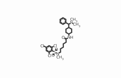 CN(C)C(c1ccccc1)C1CCC(NC(=O)CCCCCN(C)S(=O)(=O)c2c(Cl)cc(Cl)cc2Cl)CC1